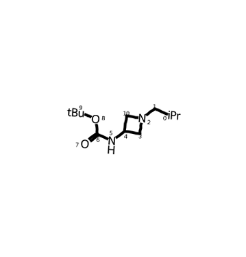 CC(C)CN1CC(NC(=O)OC(C)(C)C)C1